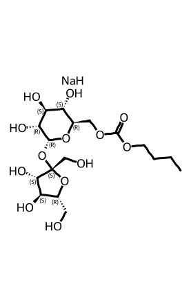 CCCCOC(=O)OC[C@H]1O[C@H](O[C@]2(CO)O[C@H](CO)[C@@H](O)[C@@H]2O)[C@H](O)[C@@H](O)[C@@H]1O.[NaH]